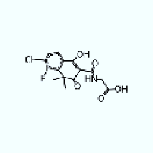 CC1(C)C(=O)C(C(=O)NCC(=O)O)=C(O)c2ccc(Cl)c(F)c21